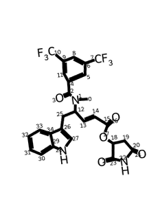 CN(C(=O)c1cc(C(F)(F)F)cc(C(F)(F)F)c1)C(C=CC(=O)OC1CC(=O)NC1=O)Cc1c[nH]c2ccccc12